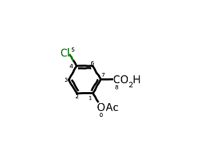 CC(=O)Oc1ccc(Cl)cc1C(=O)O